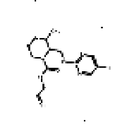 C=CCOC(=O)N1CCC[C@@H](C)[C@H]1CNc1ncc(Cl)cn1